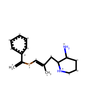 C=C(S/C=C(\C)CC1NCCCC1N)c1ccccc1